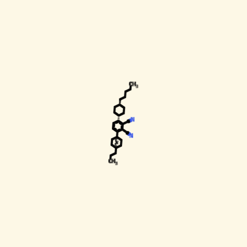 CCCCC[C@H]1CC[C@H](c2ccc(C34CCC(CCC)(CC3)CC4)c(C#N)c2C#N)CC1